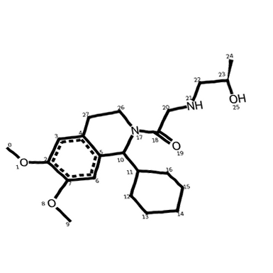 COc1cc2c(cc1OC)C(C1CCCCC1)N(C(=O)CNC[C@@H](C)O)CC2